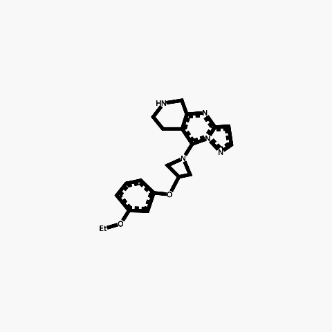 CCOc1cccc(OC2CN(c3c4c(nc5ccnn35)CNCC4)C2)c1